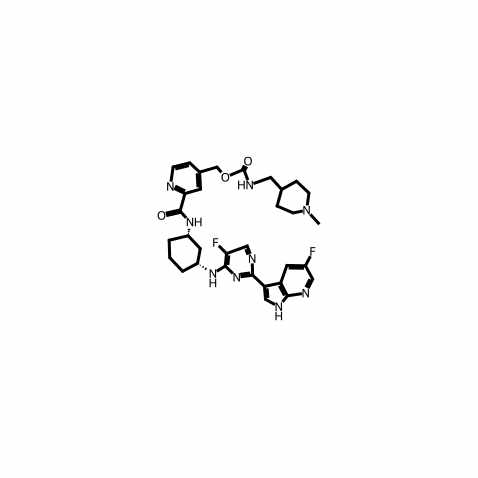 CN1CCC(CNC(=O)OCc2ccnc(C(=O)N[C@H]3CCC[C@@H](Nc4nc(-c5c[nH]c6ncc(F)cc56)ncc4F)C3)c2)CC1